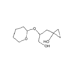 OCC(CC1(O)CC1)OC1CCCCO1